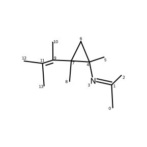 CC(C)=NC1(C)CC1(C)C(C)=C(C)C